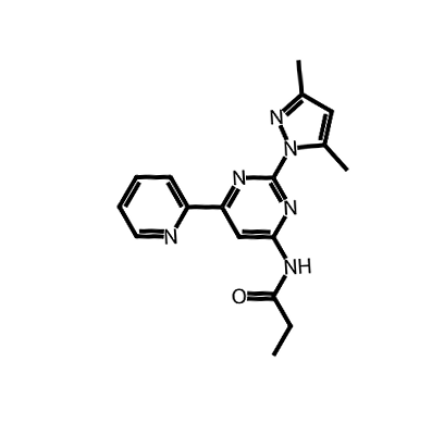 CCC(=O)Nc1cc(-c2ccccn2)nc(-n2nc(C)cc2C)n1